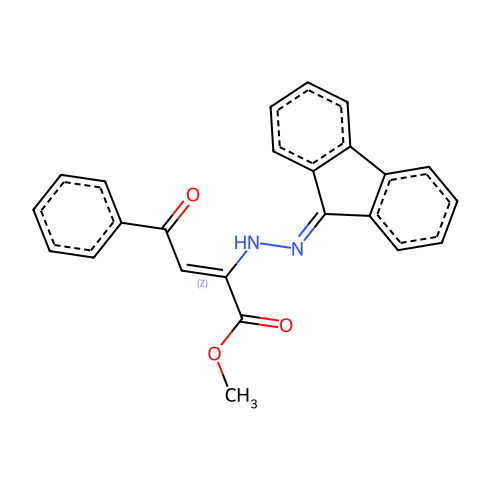 COC(=O)/C(=C/C(=O)c1ccccc1)NN=C1c2ccccc2-c2ccccc21